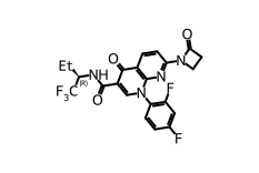 CC[C@@H](NC(=O)c1cn(-c2ccc(F)cc2F)c2nc(N3CCC3=O)ccc2c1=O)C(F)(F)F